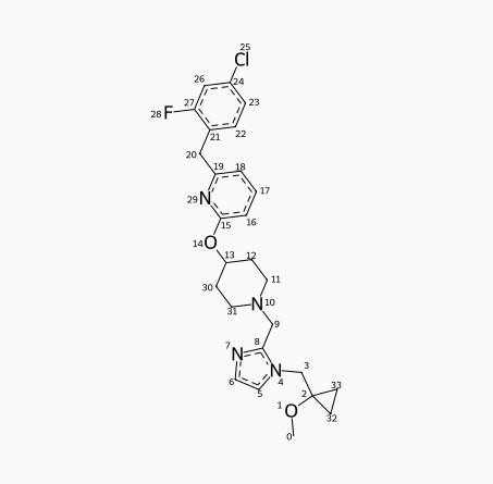 COC1(Cn2ccnc2CN2CCC(Oc3cccc(Cc4ccc(Cl)cc4F)n3)CC2)CC1